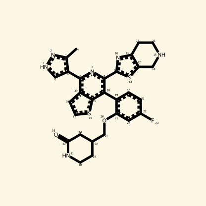 Cc1n[nH]cc1-c1nc(-c2nc3c(s2)CNCC3)c(-c2ccc(F)cc2OCC2CCNC(=O)C2)c2sccc12